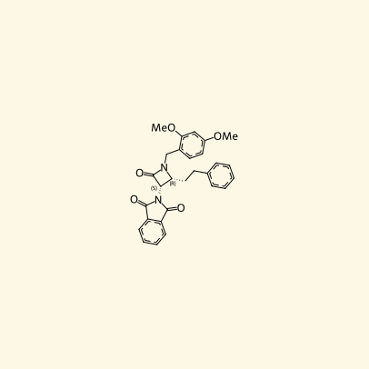 COc1ccc(CN2C(=O)[C@@H](N3C(=O)c4ccccc4C3=O)[C@H]2CCc2ccccc2)c(OC)c1